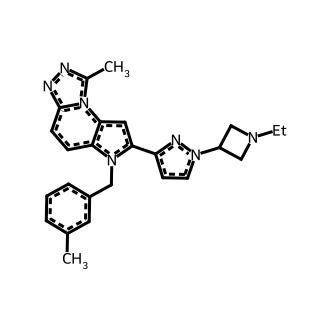 CCN1CC(n2ccc(-c3cc4c(ccc5nnc(C)n54)n3Cc3cccc(C)c3)n2)C1